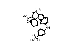 CC(=O)N(C)C1=NN(C)c2cc3cnc(Nc4ccc(S(N)(=O)=O)cn4)nc3n2C12CCCCC2